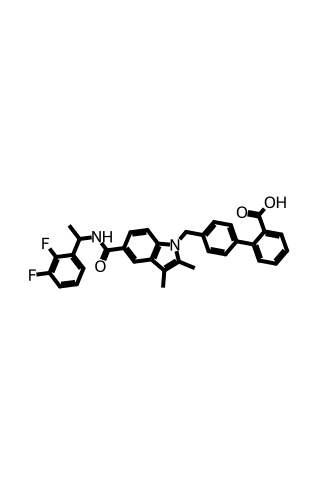 Cc1c(C)n(Cc2ccc(-c3ccccc3C(=O)O)cc2)c2ccc(C(=O)NC(C)c3cccc(F)c3F)cc12